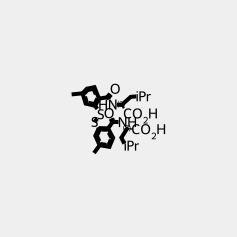 Cc1ccc(C(=O)N[C@@H](CC(C)C)C(=O)O)c(SSc2cc(C)ccc2C(=O)N[C@@H](CC(C)C)C(=O)O)c1